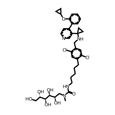 CN(C[C@@H](O)[C@H](O)[C@@H](O)[C@@H](O)CO)C(=O)NCCCCCc1cc(Cl)c(CNC2(c3cnccc3-c3ccccc3OC3CC3)CC2)cc1Cl